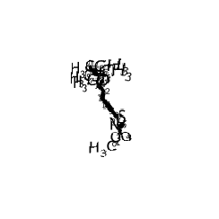 CCOC(=O)c1csc(C#CCCCO[Si](C)(C)C(C)(C)C)n1